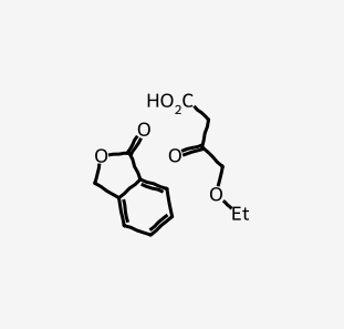 CCOCC(=O)CC(=O)O.O=C1OCc2ccccc21